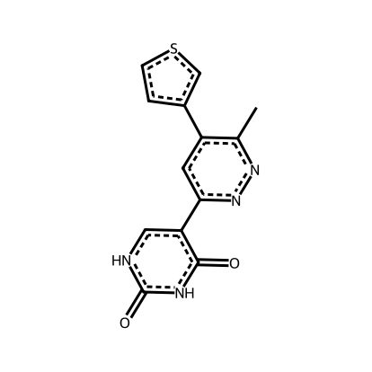 Cc1nnc(-c2c[nH]c(=O)[nH]c2=O)cc1-c1ccsc1